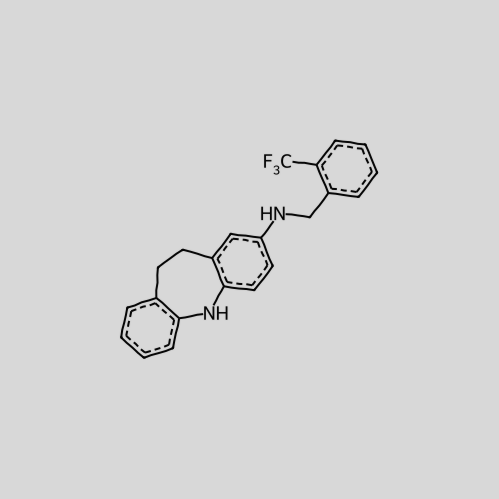 FC(F)(F)c1ccccc1CNc1ccc2c(c1)CCc1ccccc1N2